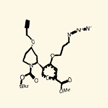 C#CCO[C@H]1CCN(C(=O)OC(C)(C)C)[C@H](c2ccc(C(=O)OC)cc2OCCCN=[N+]=[N-])C1